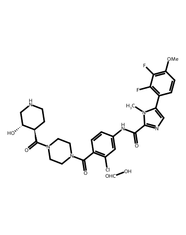 COc1ccc(-c2cnc(C(=O)Nc3ccc(C(=O)N4CCN(C(=O)[C@@H]5CCNC[C@H]5O)CC4)c(Cl)c3)n2C)c(F)c1F.O=CO